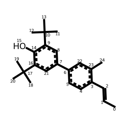 C/C=C/c1ccc(-c2cc(C(C)(C)C)c(O)c(C(C)(C)C)c2)cc1C